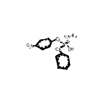 C.O=[N+]([O-])c1ccc(OP(O)(=S)Oc2ccccc2)cc1